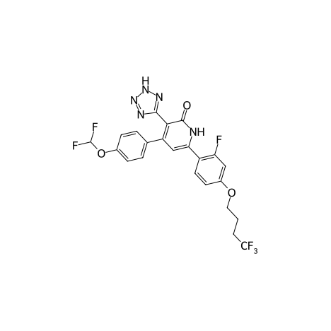 O=c1[nH]c(-c2ccc(OCCCC(F)(F)F)cc2F)cc(-c2ccc(OC(F)F)cc2)c1-c1nn[nH]n1